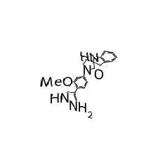 COc1cc(N2CCC3(Cc4ccccc4N3)C2=O)ccc1/C(C=N)=C/N